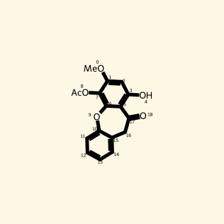 COc1cc(O)c2c(c1OC(C)=O)Oc1ccccc1CC2=O